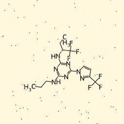 CCCNc1nc(NC(CC)C(F)(F)F)nc(-n2ccc(C(F)(F)F)n2)n1